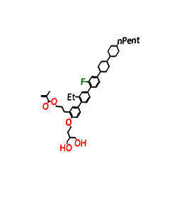 C=C(C)C(=O)OCCCc1cc(-c2ccc(-c3ccc(C4CCC(C5CCC(CCCCC)CC5)CC4)cc3F)cc2CC)ccc1OCCC(CO)CO